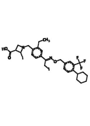 CCc1cc(C(CI)=NOCc2ccc(C3CCCCC3)c(C(F)(F)F)c2)ccc1CN1CC(C(=O)O)C1I